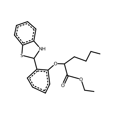 CCCCC(Oc1ccccc1C1Nc2ccccc2S1)C(=O)OCC